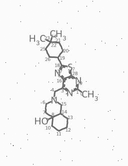 Cc1nc(CN2CCC3(O)CCCCC3C2)c2nc(C3CCC(C)(C)CC3)sc2n1